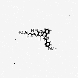 COc1ccc(-c2nc3c4ccccc4nc(N[C@@H](CCCCNC(=O)O)C(N)=O)n3n2)cc1